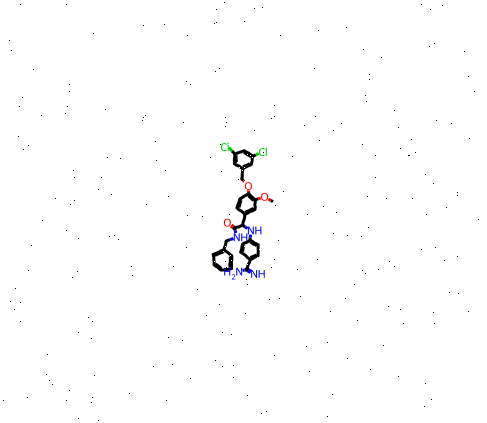 COc1cc(C(Nc2ccc(C(=N)N)cc2)C(=O)NCc2ccccc2)ccc1OCc1cc(Cl)cc(Cl)c1